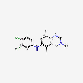 CCN(C)/C=N\c1cc(C)c(Nc2ccc(Cl)c(F)c2)cc1C